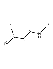 CC(C)N(I)CCNI